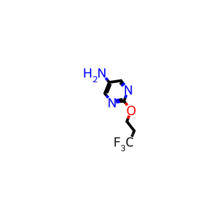 Nc1cnc(OCCC(F)(F)F)nc1